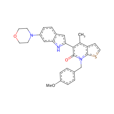 COc1ccc(Cn2c(=O)c(-c3cc4ccc(N5CCOCC5)cc4[nH]3)c(C)c3ccsc32)cc1